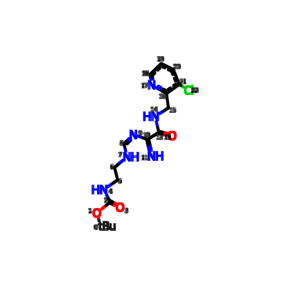 CC(C)(C)OC(=O)NCCN/C=N\C(=N)C(=O)NCc1ncccc1Cl